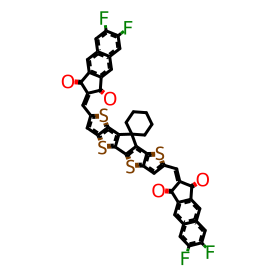 O=C1C(=Cc2cc3sc4c(c3s2)C2(CCCCC2)c2c-4sc3cc(C=C4C(=O)c5cc6cc(F)c(F)cc6cc5C4=O)sc23)C(=O)c2cc3cc(F)c(F)cc3cc21